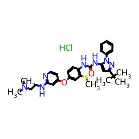 CSc1cc(Oc2ccnc(NCCN(C)C)c2)ccc1NC(=O)Nc1cc(C(C)(C)C)nn1-c1ccccc1.Cl